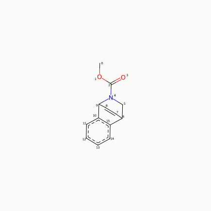 COC(=O)N1CC2C=CC1c1ccccc12